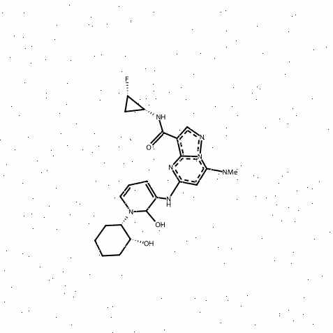 CNc1cc(NC2=CC=CN([C@H]3CCCC[C@H]3O)C2O)nc2c(C(=O)N[C@@H]3C[C@@H]3F)cnn12